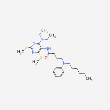 CCCCCCN(CCCC(=O)Nc1c(SC)nc(SC)nc1N(CC)CC)c1ccccc1